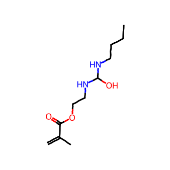 C=C(C)C(=O)OCCNC(O)NCCCC